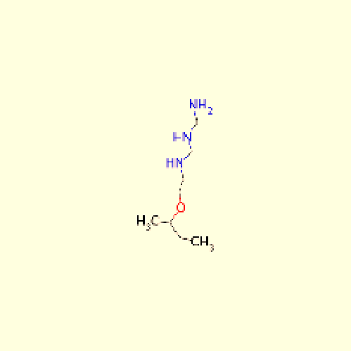 CCC(C)OCCNCNCN